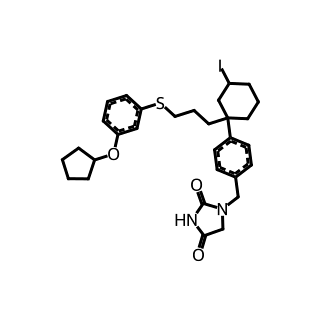 O=C1CN(Cc2ccc(C3(CCCSc4cccc(OC5CCCC5)c4)CCCC(I)C3)cc2)C(=O)N1